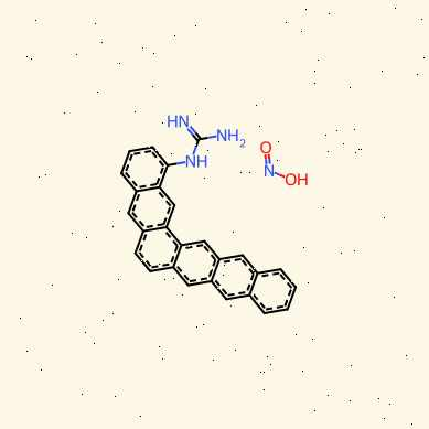 N=C(N)Nc1cccc2cc3ccc4cc5cc6ccccc6cc5cc4c3cc12.O=NO